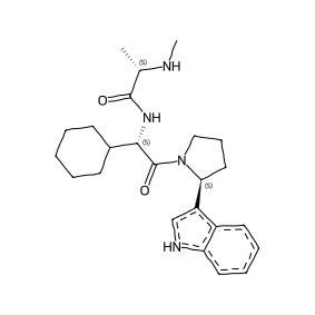 CN[C@@H](C)C(=O)N[C@H](C(=O)N1CCC[C@H]1c1c[nH]c2ccccc12)C1CCCCC1